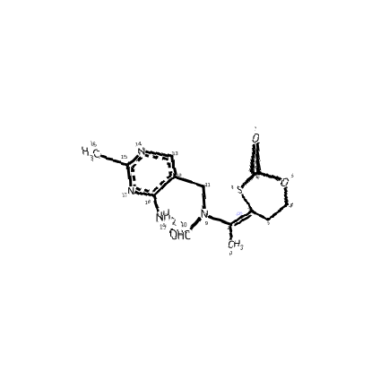 C/C(=C1\CCOC(=O)S1)N(C=O)Cc1cnc(C)nc1N